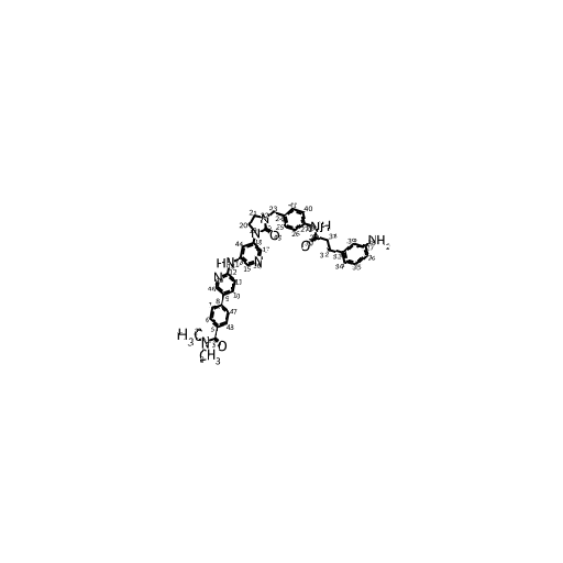 CN(C)C(=O)c1ccc(-c2ccc(Nc3cncc(N4CCN(Cc5ccc(NC(=O)CCc6cccc(N)c6)cc5)C4=O)c3)nc2)cc1